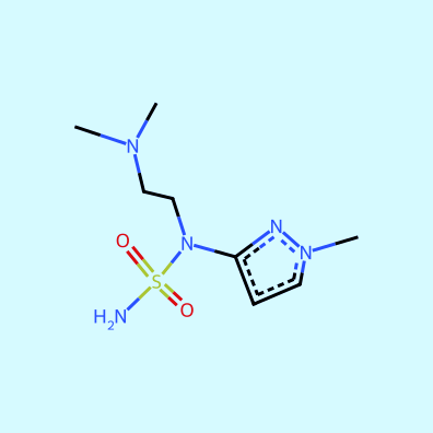 CN(C)CCN(c1ccn(C)n1)S(N)(=O)=O